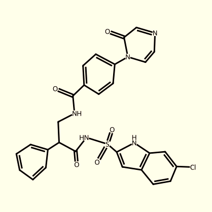 O=C(NCC(C(=O)NS(=O)(=O)c1cc2ccc(Cl)cc2[nH]1)c1ccccc1)c1ccc(-n2ccncc2=O)cc1